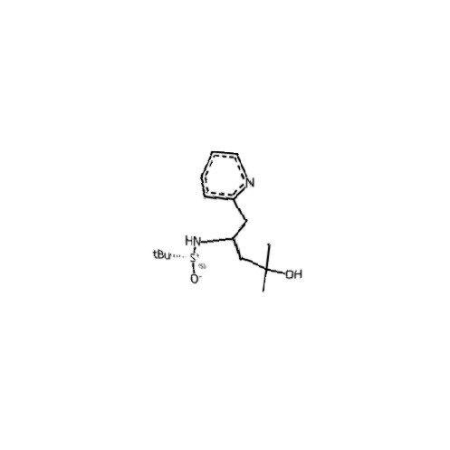 CC(C)(O)CC(Cc1ccccn1)N[S@+]([O-])C(C)(C)C